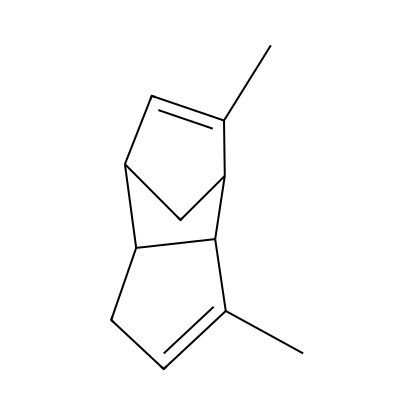 CC1=CC2CC1C1C(C)=CCC21